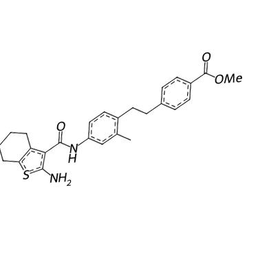 COC(=O)c1ccc(CCc2ccc(NC(=O)c3c(N)sc4c3CCC(C)(C)C4)cc2C)cc1